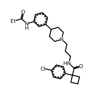 CCC(=O)Nc1cccc(C2CCN(CCCNC(=O)C3(c4ccc(Cl)cc4)CCC3)CC2)c1